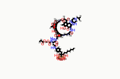 CCCCCCCCC(C)(Cc1ccc(NC(=O)C[C@@H](NC(=O)OCOC(=O)CC)C(=O)NCC(=O)O[C@@H]2[C@@H](C)[C@@H](O)[C@@H](C)[C@H](OC(C)=O)[C@H](C)[C@@H](OC)/C=C/O[C@@]3(C)Oc4c(C)c(O)c5c(c4C3=O)C3=NC4(CCN(CC(C)C)CC4)NC3=C(NC(=O)/C(C)=C\C=C\[C@@H]2C)C5=O)cc1)C(P(=O)(O)O)P(=O)(O)O